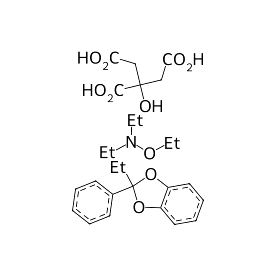 CCC1(c2ccccc2)Oc2ccccc2O1.CCON(CC)CC.O=C(O)CC(O)(CC(=O)O)C(=O)O